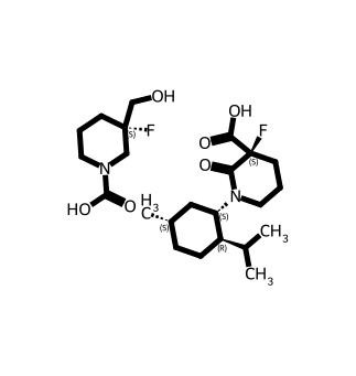 CC(C)[C@H]1CC[C@H](C)C[C@@H]1N1CCC[C@@](F)(C(=O)O)C1=O.O=C(O)N1CCC[C@@](F)(CO)C1